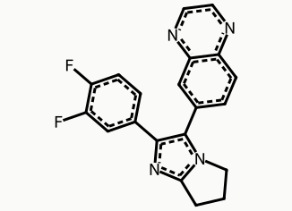 Fc1ccc(-c2nc3n(c2-c2ccc4nccnc4c2)CCC3)cc1F